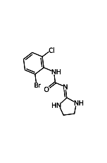 O=C(N=C1NCCN1)Nc1c(Cl)cccc1Br